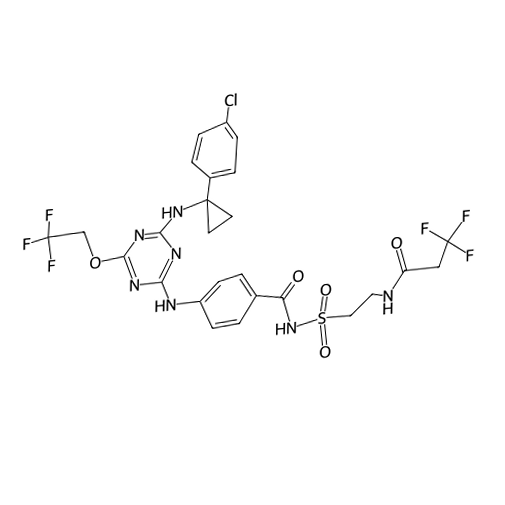 O=C(CC(F)(F)F)NCCS(=O)(=O)NC(=O)c1ccc(Nc2nc(NC3(c4ccc(Cl)cc4)CC3)nc(OCC(F)(F)F)n2)cc1